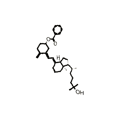 C=C1CC[C@H](OC(=O)c2ccccc2)CC1=CC=C1CCC[C@@]2(C)[C@@H]1CC[C@@H]2[C@H](C)CCCC(C)(C)O